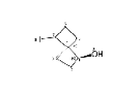 O[C@H]1CC[C@]12CCC2I